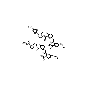 CC(C)(C)OC(=O)N1CCC2C1CCN2C(=O)c1cc(Cc2n[nH]c(=O)c3ccc(OC4CCC4)cc23)ccc1F.O=C(c1cc(Cc2n[nH]c(=O)c3ccc(OC4CCC4)cc23)ccc1F)N1CCC2C1CCN2c1ncc(C(F)(F)F)cn1